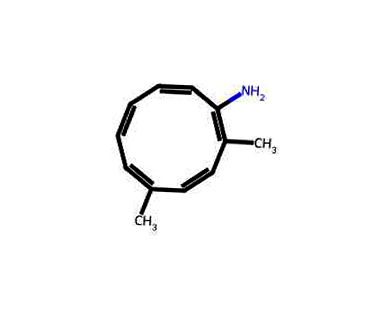 Cc1cccccc(N)c(C)cc1